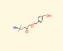 CC(C)(C#N)CCC(=O)COCCc1ccc(CO)cc1